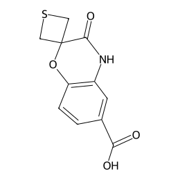 O=C(O)c1ccc2c(c1)NC(=O)C1(CSC1)O2